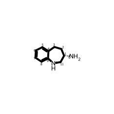 N[C@H]1CCc2ccccc2NC1